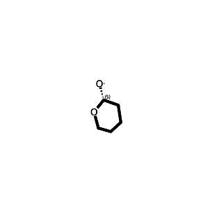 [O][C@@H]1CCCCO1